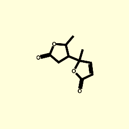 CC1OC(=O)CC1C1(C)C=CC(=O)O1